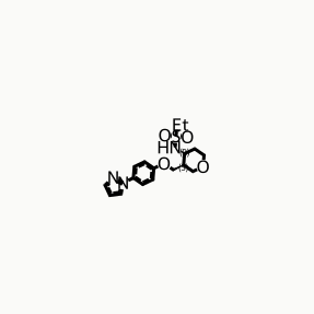 CCS(=O)(=O)N[C@@H]1CCOC[C@H]1COc1ccc(-n2cccn2)cc1